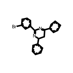 Brc1cccc(C2=NC(c3ccccc3)CC(c3ccccc3)=N2)c1